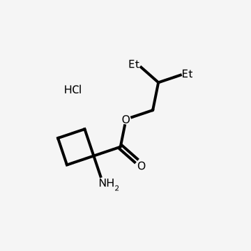 CCC(CC)COC(=O)C1(N)CCC1.Cl